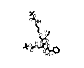 CCNC(=O)C(COCCCNC(=O)OC(C)(C)C)NC(=O)C(CNC(=O)OC(C)(C)C)NC(=O)C(NC)C1CCCCC1